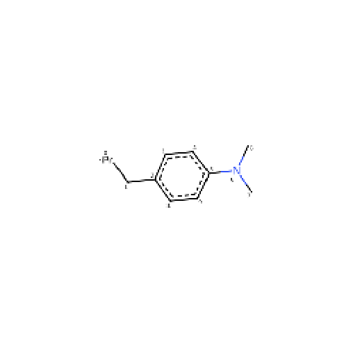 C[C](C)Cc1ccc(N(C)C)cc1